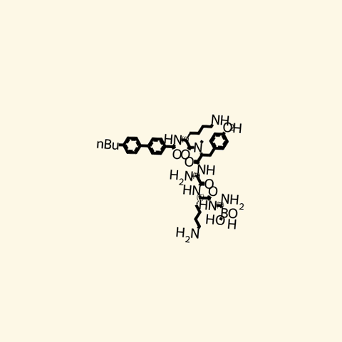 CCCCc1ccc(-c2ccc(C(=O)N[C@@H](CCCCN)C(=O)N(C)C(Cc3ccc(O)cc3)C(=O)N[C@@H](N)C(=O)N[C@@H](CCCCN)C(=O)N[C@@H](N)B(O)O)cc2)cc1